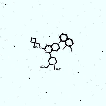 N#CCC1CN(c2nc(OCC3(N)CCC3)nc3c2CCN(c2cccc4ccc(F)c(Cl)c24)C3)CCN1C(=O)O